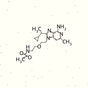 Cc1cc2c(nc(C(C)C3CC3)n2CCOCCNS(C)(=O)=O)c(N)n1